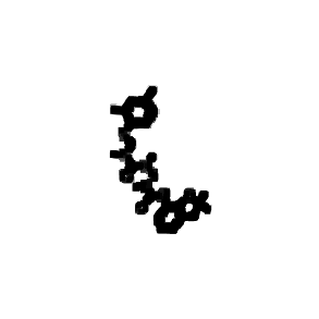 Cc1ccc(N=CN(C)C(=O)N(C)SN(C)C(=O)Oc2cccc3c2OC(C)(C)C3)c(C)c1